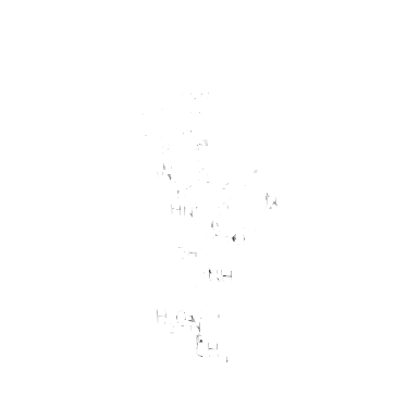 COc1cccc2nc(Nc3c(C(=O)NCCN(C)C)oc4cnccc34)ccc12